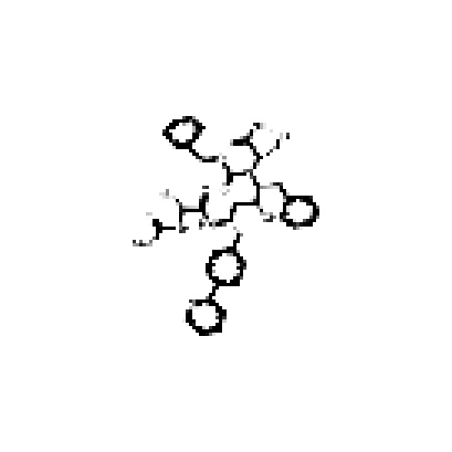 COC(=O)N[C@H](C(=O)N[C@@H](Cc1ccc(-c2ccccn2)cc1)C[C@H](O)[C@H](Cc1ccccc1)N(C(=O)OCc1ccccc1)[C@@H](CC(C)C)C(N)=O)C(C)(C)C